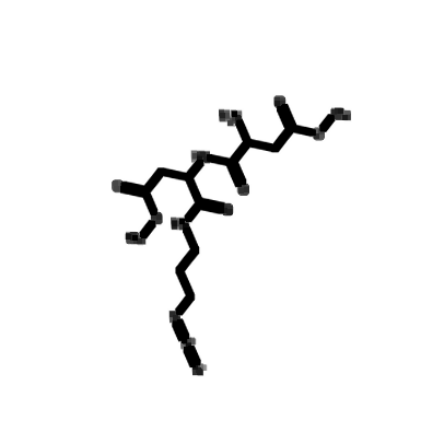 CC(C)(C)OC(=O)CC(N)C(=O)NC(CC(=O)OC(C)(C)C)C(=O)NCCCN=[N+]=[N-]